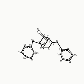 O=C1C2CCN(CC2Cc2ccccc2)C1Cc1ccccn1